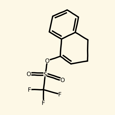 O=S(=O)(OC1=CCCc2ccccc21)C(F)(F)F